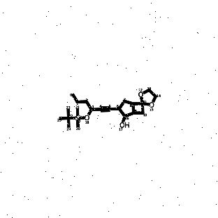 CCCC(C#CC1CC2C(CC23OCCO3)C1O)O[Si](C)(C)C(C)(C)C